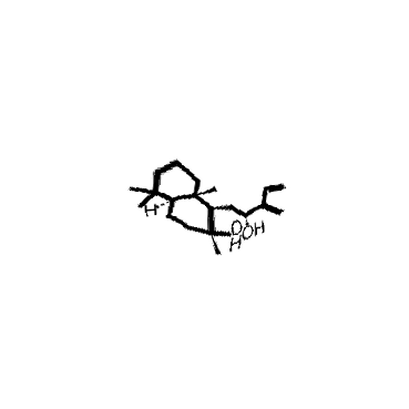 C=CC(=C)[C@H](O)C[C@@H]1[C@@]2(C)CCCC(C)(C)[C@@H]2CC[C@@]1(C)O